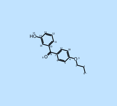 [CH2]CCOc1ccc(C(=O)c2cc[c]c(O)c2)cc1